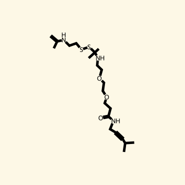 C=C(C)NCCSSC(C)(C)NCCOCCOCCC(=O)NCC#CC(C)C